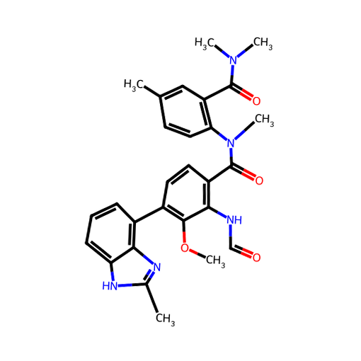 COc1c(-c2cccc3[nH]c(C)nc23)ccc(C(=O)N(C)c2ccc(C)cc2C(=O)N(C)C)c1NC=O